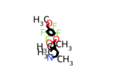 COCc1c(F)c(F)c(OC(=O)C2(C)C(C=C(C)C#N)C2(C)C)c(F)c1F